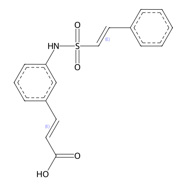 O=C(O)/C=C/c1cccc(NS(=O)(=O)/C=C/c2ccccc2)c1